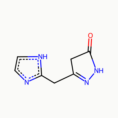 O=C1CC(Cc2ncc[nH]2)=NN1